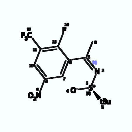 C/C(=N/[S@+]([O-])C(C)(C)C)c1cc([N+](=O)[O-])cc(C(F)(F)F)c1F